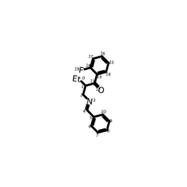 CCC(C/N=C/c1ccccc1)C(=O)c1ccccc1F